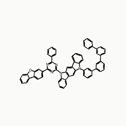 c1ccc(-c2cccc(-c3cccc(-c4cccc(-n5c6ccccc6c6cc7c(cc65)c5ccccc5n7-c5nc(-c6ccccc6)nc(-c6ccc7c(c6)oc6ccccc67)n5)c4)c3)c2)cc1